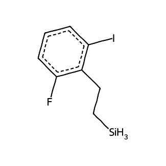 Fc1cccc(I)c1CC[SiH3]